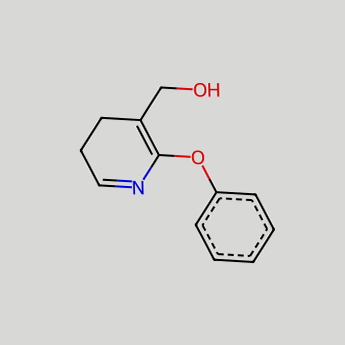 OCC1=C(Oc2ccccc2)N=CCC1